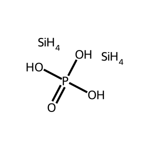 O=P(O)(O)O.[SiH4].[SiH4]